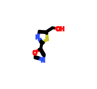 OCc1cnc(-c2cnco2)s1